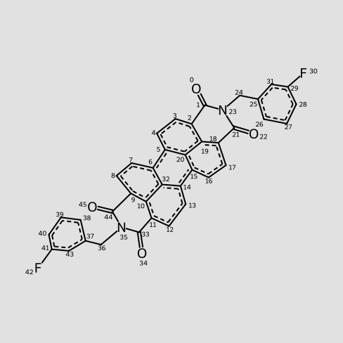 O=C1c2ccc3c4ccc5c6c(ccc(c7ccc(c2c37)C(=O)N1Cc1cccc(F)c1)c64)C(=O)N(Cc1cccc(F)c1)C5=O